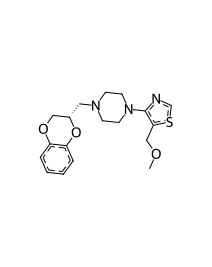 COCc1scnc1N1CCN(C[C@H]2COc3ccccc3O2)CC1